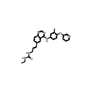 CCNC(=O)NCC=Cc1ccc2ncnc(Nc3ccc(Oc4cccnc4)c(C)c3)c2c1